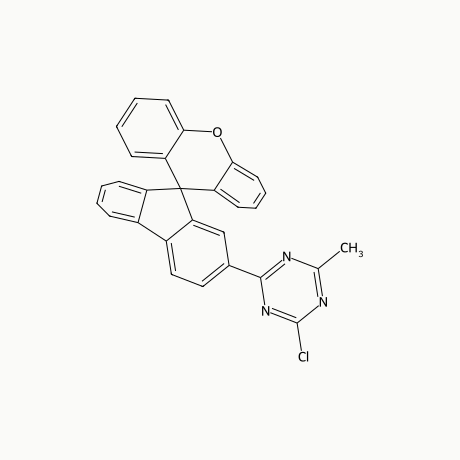 Cc1nc(Cl)nc(-c2ccc3c(c2)C2(c4ccccc4Oc4ccccc42)c2ccccc2-3)n1